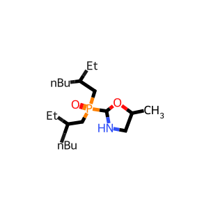 CCCCC(CC)CP(=O)(CC(CC)CCCC)C1NCC(C)O1